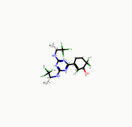 C[C@@H](Nc1nc(N[C@H](C)C(F)(F)F)nc(C2=C(F)C(O)C(F)(F)CC2)n1)C(F)(F)F